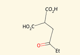 CCC(=O)CC(C(=O)O)C(=O)O